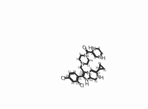 O=C(C1=CNCCN1)N1CCN(CC2=C(c3ccc(Cl)cc3Cl)NC3CNC(C4CC4)=CN23)CC1